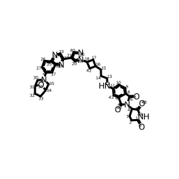 O=C1CCC(N2C(=O)c3ccc(NCCCC4CC(n5cc(-c6cnc7ccc(N8CC9CCC(C8)O9)cc7n6)cn5)C4)cc3C2=O)C(=O)N1